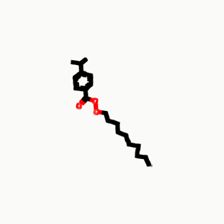 [CH2]CCCCCCCCCOOC(=O)c1ccc(C(C)C)cc1